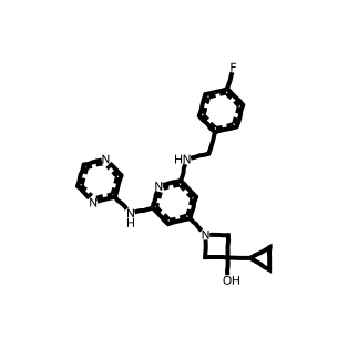 OC1(C2CC2)CN(c2cc(NCc3ccc(F)cc3)nc(Nc3cnccn3)c2)C1